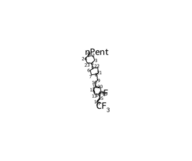 CCCCCC1CCC(C2CCC(CCc3ccc(/C=C/C(F)(F)F)c(F)c3)CC2)CC1